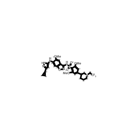 COc1cc2c(NS(=O)(=O)c3c(OC)cc(C4CCCN(CC(F)(F)F)C4)cc3OC)noc2cc1Nc1cc(C2CC2)n[nH]1